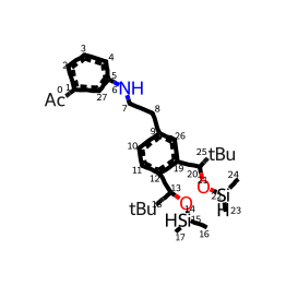 CC(=O)c1cccc(NCCc2ccc(C(O[SiH](C)C)C(C)(C)C)c(C(O[SiH](C)C)C(C)(C)C)c2)c1